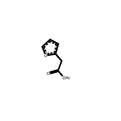 CC(=O)OC(=O)Cc1ccco1